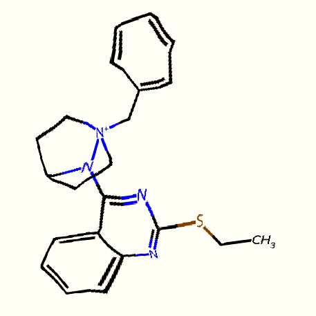 CCSc1nc(N2C3CC[N+]2(Cc2ccccc2)CC3)c2ccccc2n1